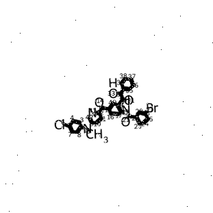 CN(c1ccc(Cl)cc1)c1ccc(C(=O)c2ccc(NC(=O)c3cccc(Br)c3)c(C(=O)C(O)c3ccccc3)c2)nc1